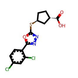 O=C(O)[C@H]1CC[C@H](Sc2nnc(-c3ccc(Cl)cc3Cl)o2)C1